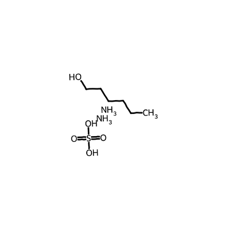 CCCCCCO.N.N.O=S(=O)(O)O